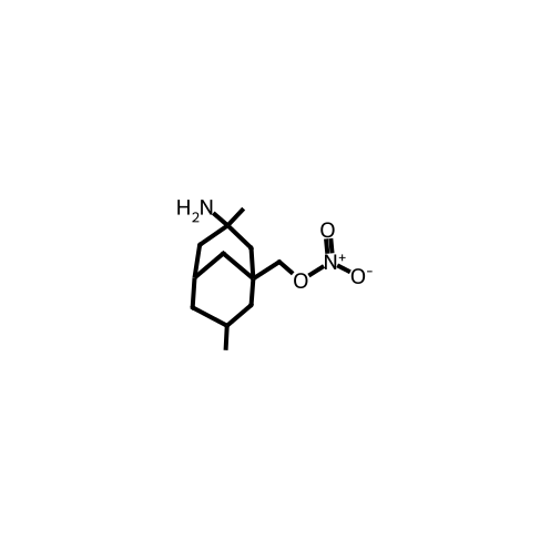 CC1CC2CC(C)(N)CC(CO[N+](=O)[O-])(C1)C2